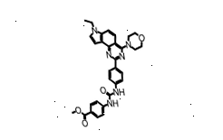 CCn1ccc2c3nc(-c4ccc(NC(=O)Nc5ccc(C(=O)OC)cc5)cc4)nc(N4CCOCC4)c3ccc21